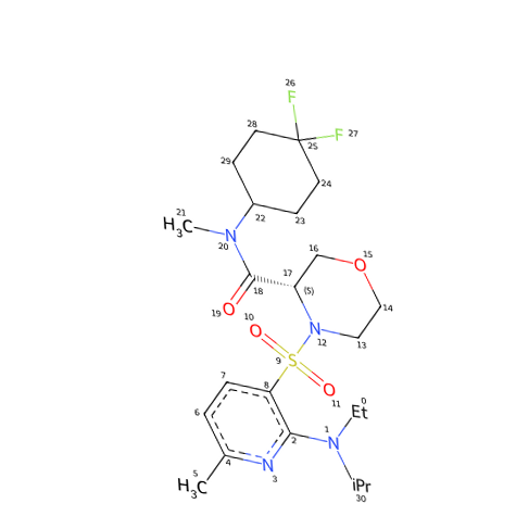 CCN(c1nc(C)ccc1S(=O)(=O)N1CCOC[C@H]1C(=O)N(C)C1CCC(F)(F)CC1)C(C)C